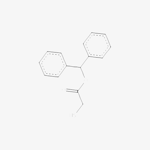 O=C(CS)OC(c1ccccc1)c1ccccc1